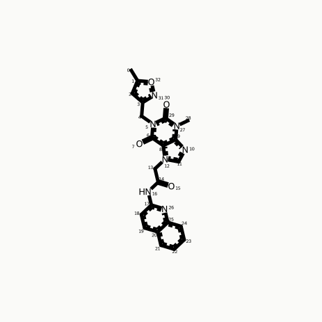 Cc1cc(Cn2c(=O)c3c(ncn3CC(=O)Nc3ccc4ccccc4n3)n(C)c2=O)no1